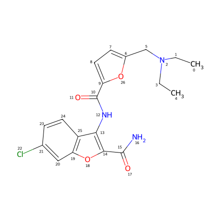 CCN(CC)Cc1ccc(C(=O)Nc2c(C(N)=O)oc3cc(Cl)ccc23)o1